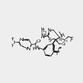 NC1=NC[C@H]2[C@@H](CF)OC[C@]2(c2cc(NC(=O)c3cnc(C(F)F)cn3)ccc2F)S1